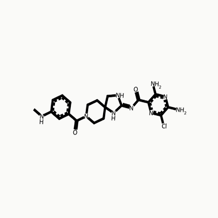 CNc1cccc(C(=O)N2CCC3(CC2)CN/C(=N\C(=O)c2nc(Cl)c(N)nc2N)N3)c1